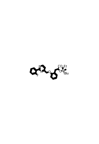 CCOC(=O)[C@H](Cc1ccccc1OCc1ccnc(-c2ccccc2F)n1)O[Si](C)(C)C(C)(C)C